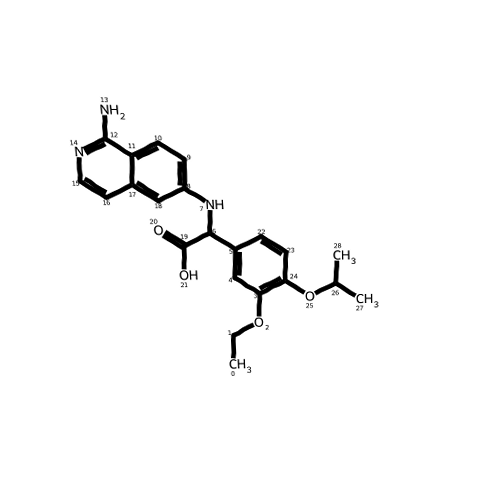 CCOc1cc(C(Nc2ccc3c(N)nccc3c2)C(=O)O)ccc1OC(C)C